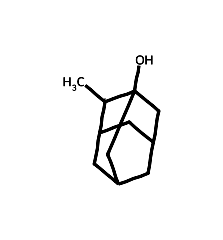 C[C]1C2CC3CC(C2)CC1(O)C3